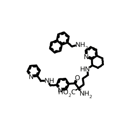 NCc1cccc2ccccc12.N[C@](CCCNC1CCCc2cccnc21)(C(=O)O)C(=O)c1ccc(CNCc2ccccn2)nc1